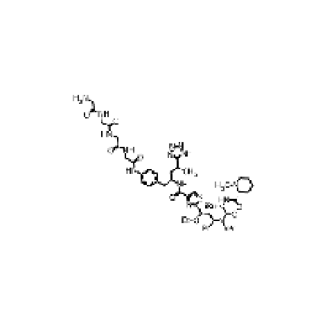 CCCN(C(=O)[C@@H](NC(=O)[C@H]1CCCCN1C)[C@@H](C)CC)[C@H](C[C@@H](OCC)c1nc(C(=O)N[C@@H](Cc2ccc(NC(=O)CNC(=O)CNC(=O)CNC(=O)CN)cc2)C[C@H](C)c2nnn[nH]2)cs1)C(C)C